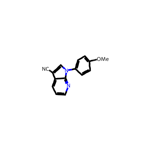 COc1ccc(-n2cc(C#N)c3cccnc32)cc1